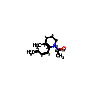 C=C/C=C\C1=C(C)CCCN1C(C)=O